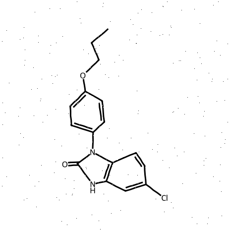 CCCOc1ccc(-n2c(=O)[nH]c3cc(Cl)ccc32)cc1